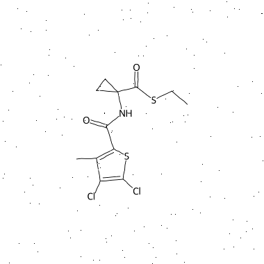 CCSC(=O)C1(NC(=O)c2sc(Cl)c(Cl)c2C)CC1